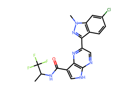 CC(NC(=O)c1c[nH]c2ncc(-c3nn(C)c4cc(Cl)ccc34)nc12)C(F)(F)F